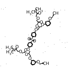 C#CCOc1cccc(OCC(COc2ccc(S(=O)(=O)c3ccc(OCC(COc4cccc(OCC#C)c4)OC(=O)COCC(=O)N(C)C)cc3)cc2)OC(=O)COCC(=O)N(C)C)c1